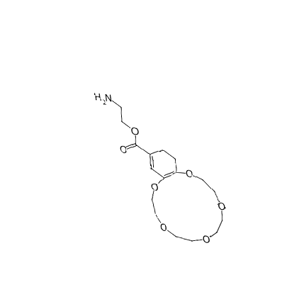 NCCOC(=O)C1=CC2=C(CC1)OCCOCCOCCOCCO2